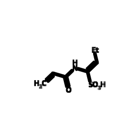 C=CC(=O)NC(=CCC)S(=O)(=O)O